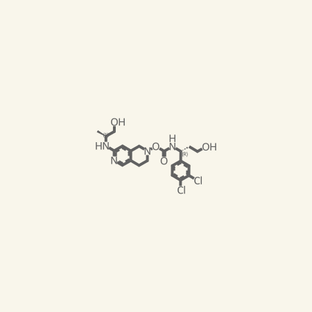 C[C@@H](CO)Nc1cc2c(cn1)CCN(OC(=O)N[C@H](CCO)c1ccc(Cl)c(Cl)c1)C2